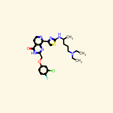 CCN(CC)CCCC(C)Nc1nc(-c2nccc3c(=O)[nH]c(COc4ccc(F)c(Cl)c4)nc23)cs1